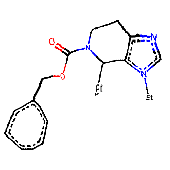 CCC1c2c(ncn2CC)CCN1C(=O)OCc1ccccc1